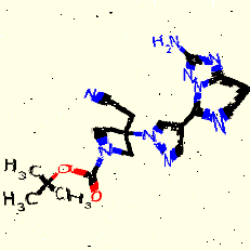 CC(C)(C)OC(=O)N1CC(CC#N)(n2cc(-c3nccc4nc(N)nn34)cn2)C1